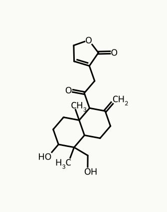 C=C1CCC2C(C)(CO)C(O)CCC2(C)C1C(=O)CC1=CCOC1=O